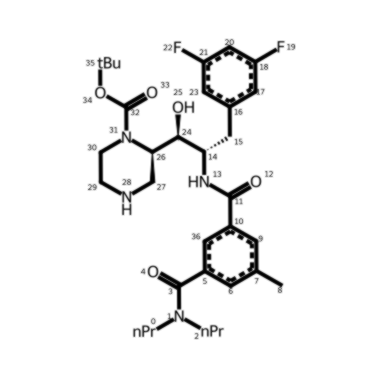 CCCN(CCC)C(=O)c1cc(C)cc(C(=O)N[C@@H](Cc2cc(F)cc(F)c2)[C@H](O)[C@H]2CNCCN2C(=O)OC(C)(C)C)c1